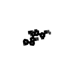 Nc1cncc(-c2cnc3[nH]nc(-c4cc5c(-c6cccnc6)cccc5[nH]4)c3c2)c1